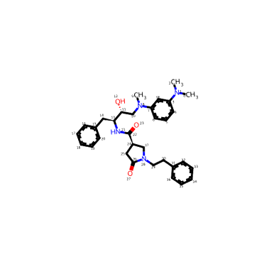 CN(C)c1cccc(N(C)C[C@@H](O)[C@H](Cc2ccccc2)NC(=O)[C@@H]2CC(=O)N(CCc3ccccc3)C2)c1